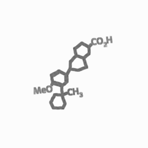 COc1ccc(C2CCC3CC(C(=O)O)CCC3C2)cc1C1(C)CCCCC1